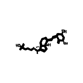 C=C1C(=CC=C2CCC[C@]3(C)C([C@@H](C)SCCCC(C)(C)O)=CC[C@@H]23)C[C@@H](O)C[C@@H]1O